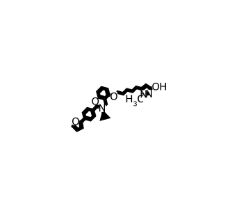 Cn1nc(O)cc1CCCCCOc1ccccc1CN(C(=O)c1ccc(-c2ccco2)cc1)C1CC1